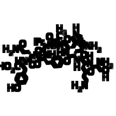 CC(C)[C@H](NC(=O)[C@H](C)NC(=O)[C@H](Cc1c[nH]cn1)NC(=O)[C@H](CCC(N)=O)NC(=O)[C@H](CCCCN)NC(=O)[C@@H](N)CO)C(=O)N[C@@H](Cc1ccccc1)C(=O)N[C@@H](CCC(N)=O)C(=O)N[C@@H](Cc1ccc(O)cc1)C(=O)O